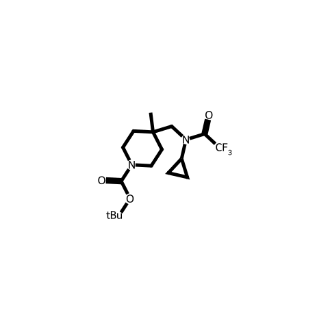 CC1(CN(C(=O)C(F)(F)F)C2CC2)CCN(C(=O)OC(C)(C)C)CC1